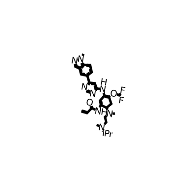 C=CC(=O)NC1=CC(Nc2cc(-c3ccc4c(cnn4C)c3)ncn2)=C(OC(F)F)CC1N(C)CCN(C)C(C)C